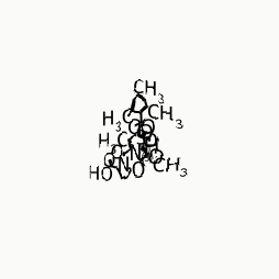 CO[C@H]1C(=O)N2C(C(=O)N3CCCC3C(=O)O)=C(C)C(OC(=O)c3c(C)cc(C)cc3C)S(=O)(=O)[C@H]12